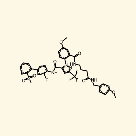 COc1ccc(CNC(=O)CCCNC(=O)c2cc(OC)ccc2-n2nc(C(F)(F)F)cc2C(=O)Nc2ccc(-c3ccccc3S(C)(=O)=O)cc2F)cc1